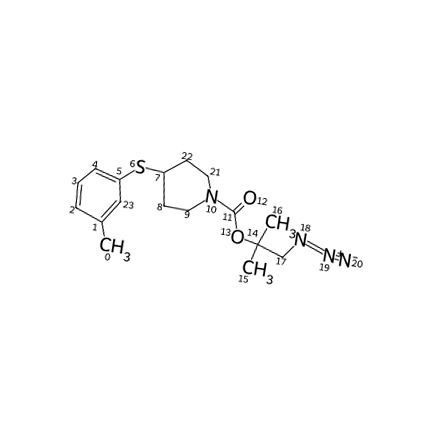 Cc1cccc(SC2CCN(C(=O)OC(C)(C)CN=[N+]=[N-])CC2)c1